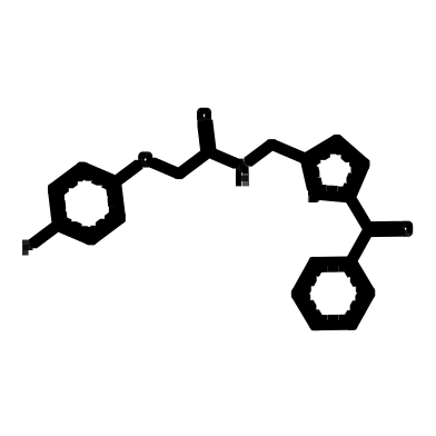 O=C(COc1ccc(F)cc1)NCc1ccc(C(=O)c2ccccc2)s1